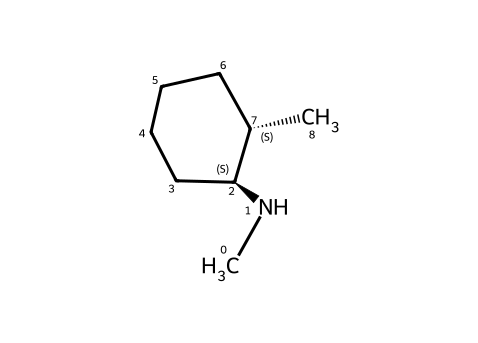 CN[C@H]1CCCC[C@@H]1C